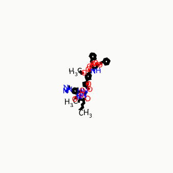 CCCCCC(C(=O)NCNC(=O)c1ccc(-c2ccc(C(=O)NC(CC(=O)OCc3ccccc3)C(=O)OCc3ccccc3)c(OCC)c2)o1)C(CC)N(C=O)OC(=O)c1ccc(-n2cnnc2)cc1